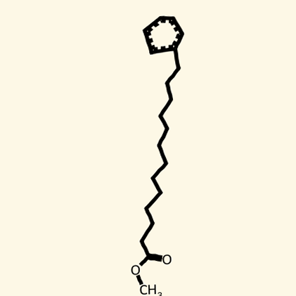 COC(=O)CCCCCCCCCCCCc1ccccc1